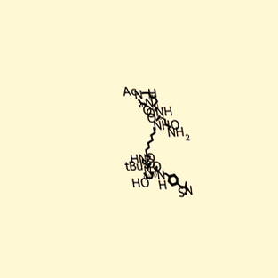 CC(=O)N1CC[C@H]2CC[C@@H](C(=O)N[C@@H](CCC(N)=O)C(=O)NCCCCCCCC(=O)N[C@H](C(=O)N3C[C@H](O)C[C@H]3C(=O)NCc3ccc(-c4scnc4C)cc3)C(C)(C)C)N2C(=O)[C@@H](C)C1